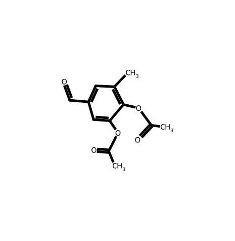 CC(=O)Oc1cc(C=O)cc(C)c1OC(C)=O